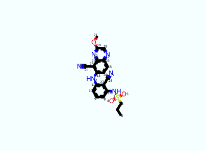 CCCS(=O)(=O)Nc1cccc(Nc2ccc3ncc(OC)nc3c2C#N)c1C#N